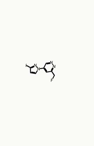 FCc1cc(-n2ccc(I)n2)cnn1